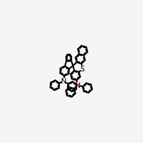 c1ccc(N(c2ccccc2)c2ccc3c(c2)Sc2cc4ccccc4cc2C32c3ccccc3-c3ccc(N(c4ccccc4)c4ccccc4)cc32)cc1